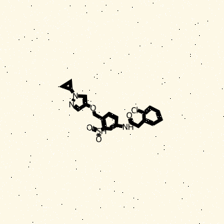 O=C(Cc1ccccc1Cl)Nc1ccc(COc2cnn(C3CC3)c2)c([SH](=O)=O)c1